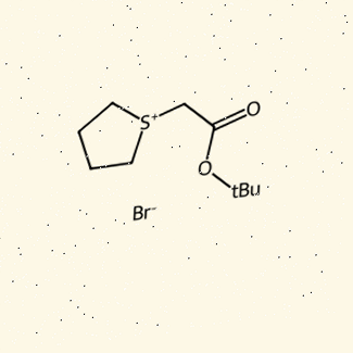 CC(C)(C)OC(=O)C[S+]1CCCC1.[Br-]